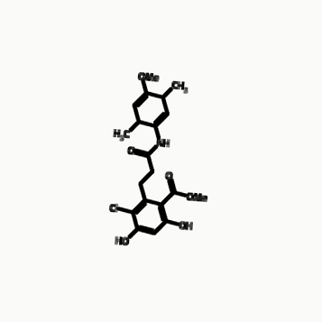 COC(=O)c1c(O)cc(O)c(Cl)c1CCC(=O)NC1=CC(C)C(OC)=CC1C